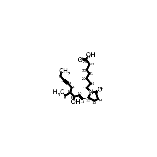 CCC#CCC(CC)C(O)/C=C/[C@H]1CCC(=O)N1CCCCCCC(=O)O